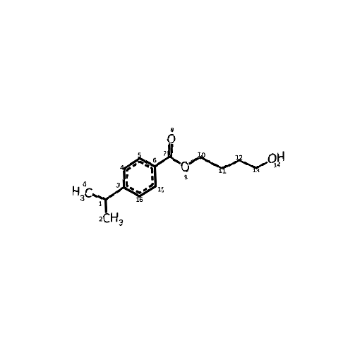 CC(C)c1ccc(C(=O)OCCCCO)cc1